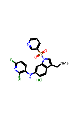 CNCc1cn(S(=O)(=O)c2cccnc2)c2cc(Nc3ccc(F)nc3Br)ccc12.Cl